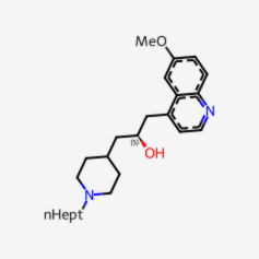 CCCCCCCN1CCC(C[C@H](O)Cc2ccnc3ccc(OC)cc23)CC1